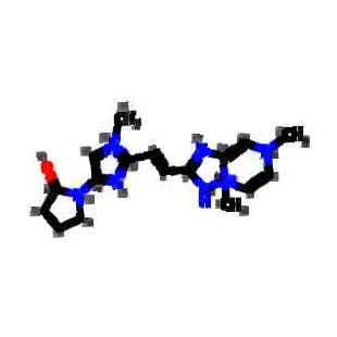 CN1C=C[N+]2(C)NC(/C=C/c3nc(N4CCCC4=O)cn3C)=NC2=C1